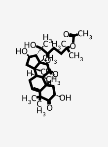 CC(=O)OC(C)(C)CCC(=O)[C@](C)(O)[C@H]1[C@H](O)C[C@@]2(C)[C@@H]3CC=C4[C@@H](C[C@H](O)C(=O)C4(C)C)[C@]3(C)C(=O)C[C@]12C